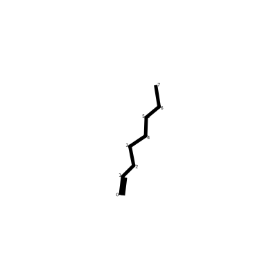 C=CCCC[CH]CC